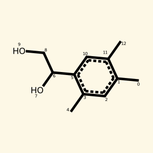 Cc1cc(C)c(C(O)CO)cc1C